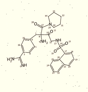 N=C(N)c1ccc(CC(N)(C(=O)CNS(=O)(=O)c2cccc3ccccc23)C(=O)N2CCCCC2)cc1